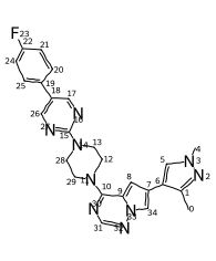 Cc1nn(C)cc1-c1cc2c(N3CCN(c4ncc(-c5ccc(F)cc5)cn4)CC3)ncnn2c1